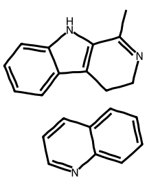 CC1=NCCc2c1[nH]c1ccccc21.c1ccc2ncccc2c1